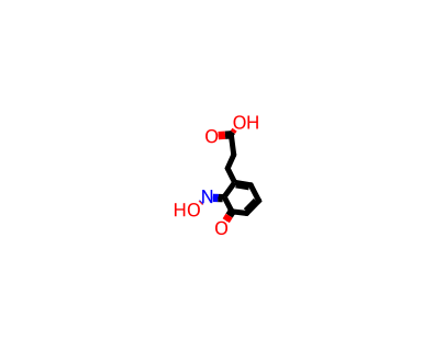 O=C(O)CCC1=CC=CC(=O)C1=NO